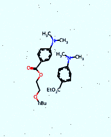 CCCCOCCOC(=O)c1ccc(N(C)C)cc1.CCOC(=O)c1ccc(N(C)C)cc1